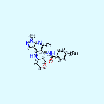 CCc1nc2c(cnn2CC)c(NC2CCOCC2)c1CNC(=O)c1ccc(C(C)(C)C)cc1